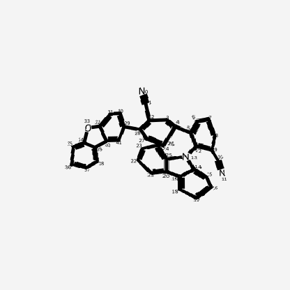 N#Cc1cc(-c2cccc(C#N)c2-n2c3ccccc3c3ccccc32)ccc1-c1ccc2oc3ccccc3c2c1